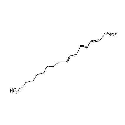 CCCCCC=CC=CCC=CCCCCCCCC(=O)O